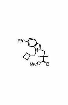 COC(=O)C(C)(C)Cc1cc2ccc(C(C)C)cc2n1CC1CCC1